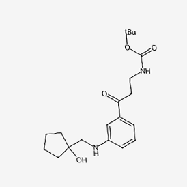 CC(C)(C)OC(=O)NCCC(=O)c1cccc(NCC2(O)CCCC2)c1